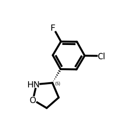 Fc1cc(Cl)cc([C@@H]2CCON2)c1